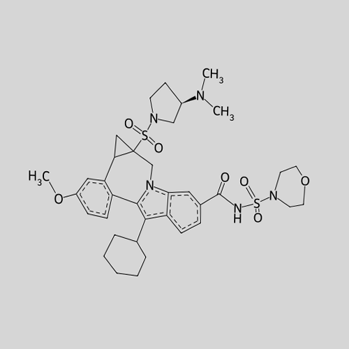 COc1ccc2c(c1)C1CC1(S(=O)(=O)N1CC[C@@H](N(C)C)C1)Cn1c-2c(C2CCCCC2)c2ccc(C(=O)NS(=O)(=O)N3CCOCC3)cc21